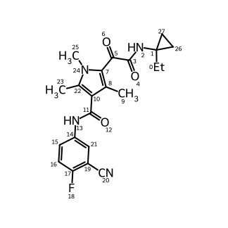 CCC1(NC(=O)C(=O)c2c(C)c(C(=O)Nc3ccc(F)c(C#N)c3)c(C)n2C)CC1